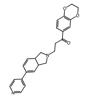 O=C(CCN1CC2C=CC(c3ccncc3)=CC2C1)c1ccc2c(c1)OCCO2